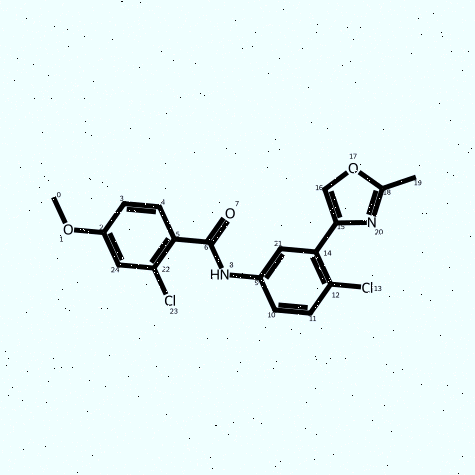 COc1ccc(C(=O)Nc2ccc(Cl)c(-c3coc(C)n3)c2)c(Cl)c1